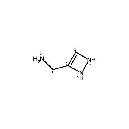 NCc1c[nH][nH]1